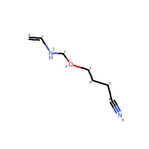 C=CNCOCCCC#N